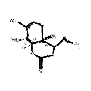 CCC1CC(=O)O[C@H]2[C@H](O)C(C)=CC[C@H]12